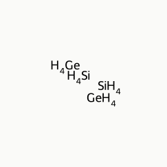 [GeH4].[GeH4].[SiH4].[SiH4]